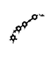 CCCCOc1ccc(C#Cc2ccc(-c3ccc(C(F)(F)Oc4cc(F)c(F)c(F)c4)c(F)c3)c(F)c2)cc1